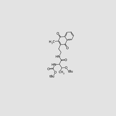 CC1=C(CCNC(=O)C(NC(=O)OC(C)(C)C)C(C)OC(C)(C)C)C(=O)c2ccccc2C1=O